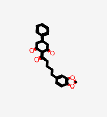 O=C(CCCCc1ccc2c(c1)OCO2)C1C(=O)CC(c2ccccc2)CC1=O